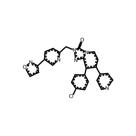 O=c1n(Cc2ccc(-c3ccon3)cn2)nc2c(-c3ccc(Cl)cc3)c(-c3ccncc3)ccn12